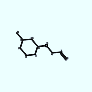 C=CCOC1CCCC(C)C1